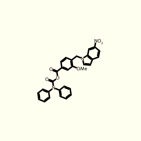 COc1cc(C(=O)OC(=O)N(c2ccccc2)c2ccccc2)ccc1Cn1ccc2ccc([N+](=O)[O-])cc21